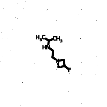 CC(C)NCCN1CC(F)C1